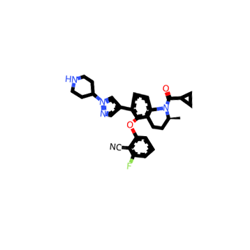 C[C@H]1CCc2c(ccc(-c3cnn(C4CCNCC4)c3)c2Oc2cccc(F)c2C#N)N1C(=O)C1CC1